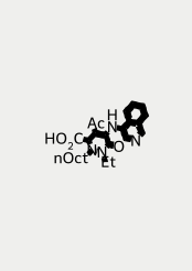 CCCCCCCCN1C(C(=O)O)C(C(C)=O)=C(Nc2cncc3ccccc23)C(=O)N1CC